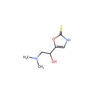 CN(C)CC(O)c1c[nH]c(=S)o1